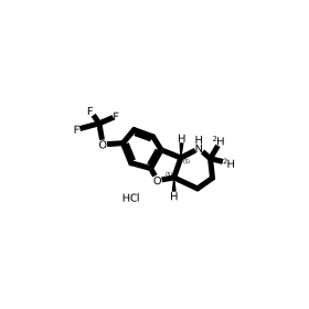 Cl.[2H]C1([2H])CC[C@@H]2Oc3cc(OC(F)(F)F)ccc3[C@@H]2N1